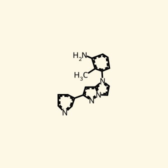 Cc1c(N)cccc1-n1ccn2nc(-c3cccnc3)cc12